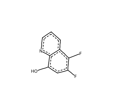 Oc1cc(F)c(F)c2cccnc12